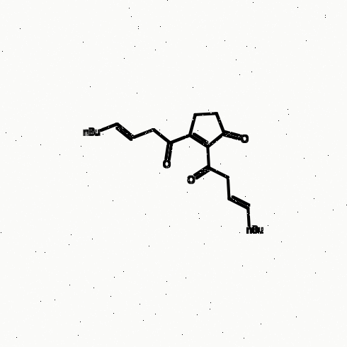 CCCC/C=C/CC(=O)C1=C(C(=O)C/C=C/CCCC)C(=O)CC1